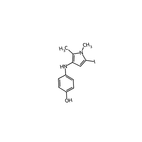 Cc1c(Nc2ccc(O)cc2)cc(I)n1C